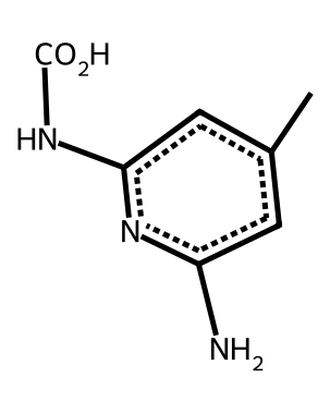 Cc1cc(N)nc(NC(=O)O)c1